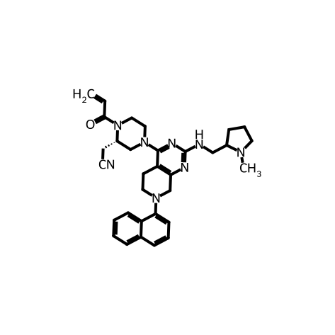 C=CC(=O)N1CCN(c2nc(NCC3CCCN3C)nc3c2CCN(c2cccc4ccccc24)C3)C[C@@H]1CC#N